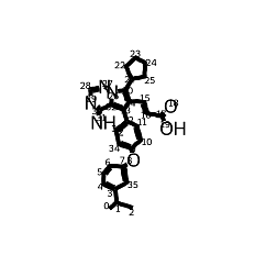 CC(C)c1cccc(Oc2ccc(-c3c(C=CC(=O)O)c(C4CCCC4)n4ncnc(N)c34)cc2)c1